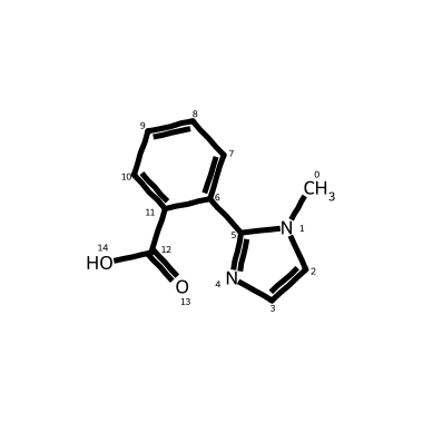 Cn1ccnc1-c1ccccc1C(=O)O